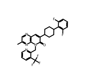 Cc1cnc2cc(C3CCC(c4c(F)cccc4F)CC3)c(=O)n(Cc3ncccc3C(F)(F)F)c2n1